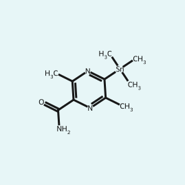 Cc1n[c]([Sn]([CH3])([CH3])[CH3])c(C)nc1C(N)=O